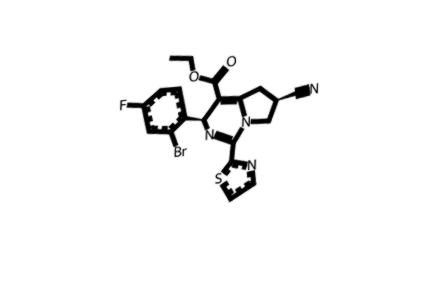 CCOC(=O)C1=C2C[C@@H](C#N)CN2C(c2nccs2)=N[C@H]1c1ccc(F)cc1Br